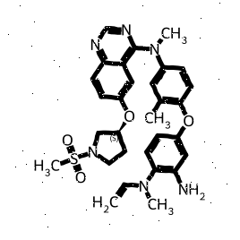 C=CN(C)c1ccc(Oc2ccc(N(C)c3ncnc4ccc(O[C@H]5CCN(S(C)(=O)=O)C5)cc34)cc2C)cc1N